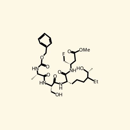 CCC(CCC[C@H](NC(=O)[C@H](CO)NC(=O)[C@H](C)NC(=O)OCc1ccccc1)C(=O)N[C@H](CF)CC(=O)OC)[C@@H](C)O